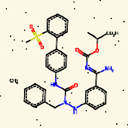 C.CC(OC(=O)N=C(N)c1cccc(NN(Cc2ccccc2)C(=O)Nc2ccc(-c3ccccc3S(C)(=O)=O)cc2)c1)C(=O)O